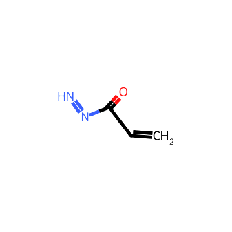 C=CC(=O)N=N